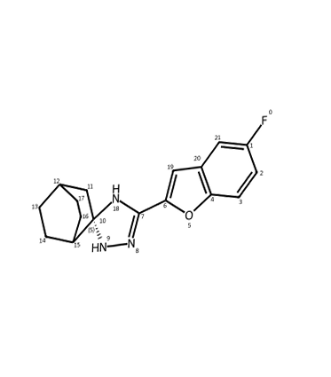 Fc1ccc2oc(C3=NN[C@]4(CC5CCC4CC5)N3)cc2c1